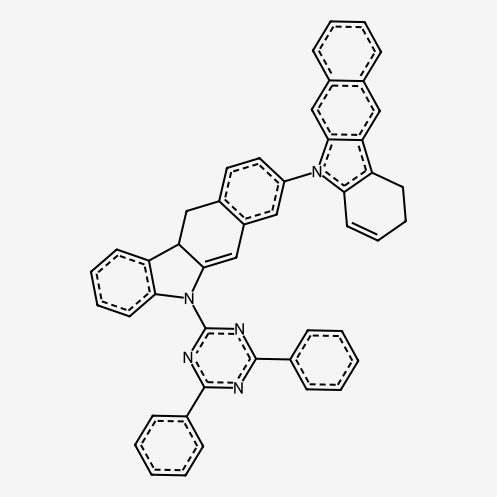 C1=Cc2c(c3cc4ccccc4cc3n2-c2ccc3c(c2)C=C2C(C3)c3ccccc3N2c2nc(-c3ccccc3)nc(-c3ccccc3)n2)CC1